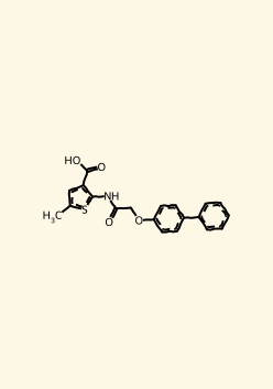 Cc1cc(C(=O)O)c(NC(=O)COc2ccc(-c3ccccc3)cc2)s1